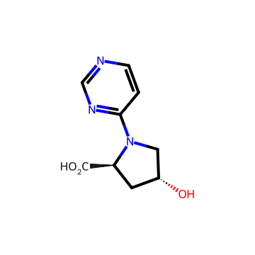 O=C(O)[C@@H]1C[C@@H](O)CN1c1ccncn1